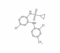 O=S(=O)(Nc1ccc(Cl)cc1Nc1ccc(C(F)(F)F)cc1Cl)C1CC1